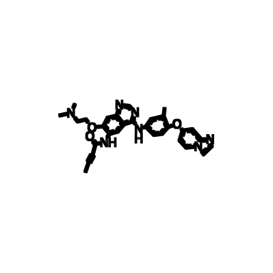 CC#CC(=O)Nc1cc2c(Nc3ccc(Oc4ccn5ccnc5c4)c(C)c3)ncnc2cc1OCCN(C)C